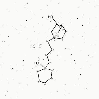 C[N+]1(CCCC[N+]23CCC(CC2)C(O)C3)CCCCC1.[Br-].[Br-]